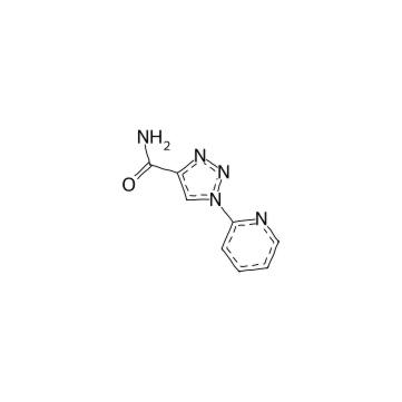 NC(=O)c1cn(-c2ccccn2)nn1